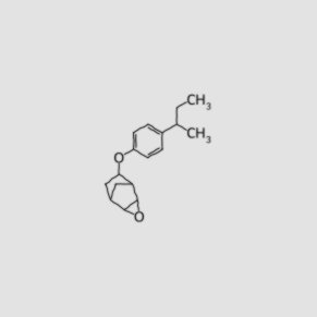 CCC(C)c1ccc(OC2CC3CC2C2OC32)cc1